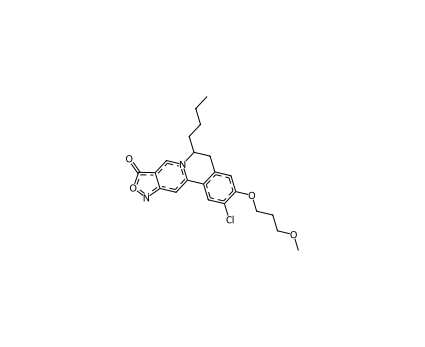 CCCCC1Cc2cc(OCCCOC)c(Cl)cc2-c2cc3noc(=O)c-3cn21